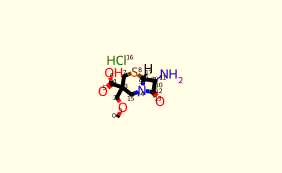 COCC1(C(=O)O)CS[C@@H]2[C@H](N)C(=O)N2C1.Cl